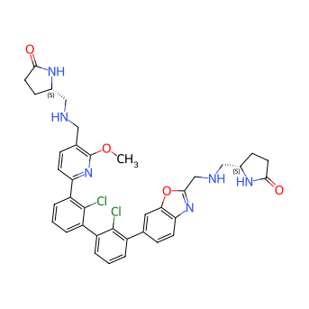 COc1nc(-c2cccc(-c3cccc(-c4ccc5nc(CNC[C@@H]6CCC(=O)N6)oc5c4)c3Cl)c2Cl)ccc1CNC[C@@H]1CCC(=O)N1